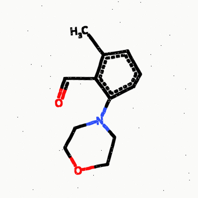 Cc1cccc(N2CCOCC2)c1C=O